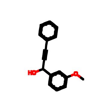 COc1cccc(C(O)C#Cc2ccccc2)c1